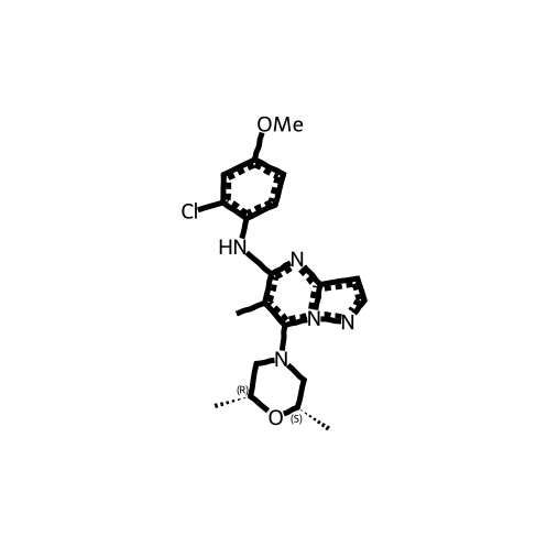 COc1ccc(Nc2nc3ccnn3c(N3C[C@@H](C)O[C@@H](C)C3)c2C)c(Cl)c1